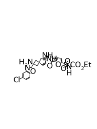 CCOC(=O)NS(=O)(=O)c1ccc(C(=O)N[C@@]2(N)C#C[C@]3(C2)C[C@](N)(c2nc4cc(Cl)ccc4o2)C3)o1